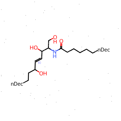 CCCCCCCCCCCCCCCC(=O)NC(CO)C(O)/C=C/C(O)CCCCCCCCCCCC